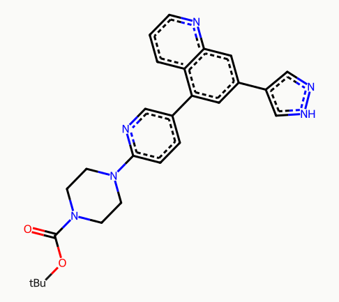 CC(C)(C)OC(=O)N1CCN(c2ccc(-c3cc(-c4cn[nH]c4)cc4ncccc34)cn2)CC1